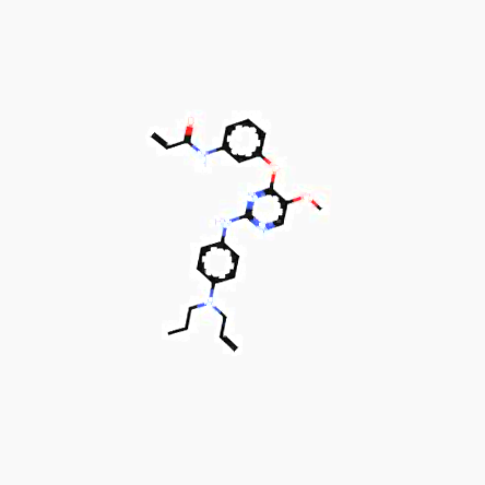 C=CCN(CCC)c1ccc(Nc2ncc(OC)c(Oc3cccc(NC(=O)C=C)c3)n2)cc1